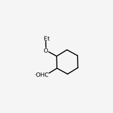 CCOC1CCCCC1[C]=O